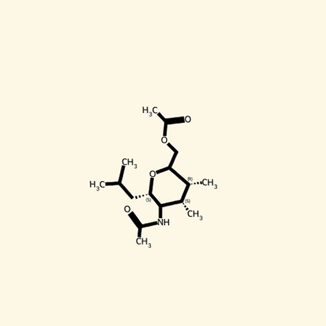 CC(=O)NC1[C@H](CC(C)C)OC(COC(C)=O)[C@H](C)[C@@H]1C